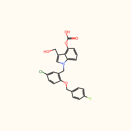 O=C(O)Oc1cccc2c1c(CO)cn2Cc1cc(Cl)ccc1OCc1ccc(F)cc1